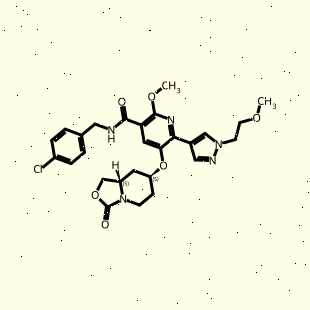 COCCn1cc(-c2nc(OC)c(C(=O)NCc3ccc(Cl)cc3)cc2O[C@H]2CCN3C(=O)OC[C@@H]3C2)cn1